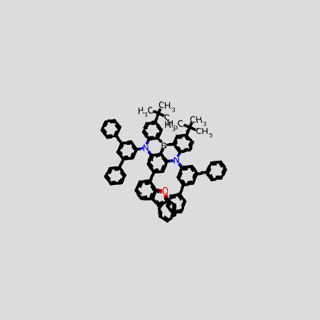 CC(C)(C)c1ccc2c(c1)B1c3cc(C(C)(C)C)ccc3N(c3cc(-c4ccccc4)cc(-c4ccccc4)c3)c3cc(-c4cccc5c4oc4ccccc45)cc(c31)N2c1cc(-c2ccccc2)cc(-c2ccccc2)c1